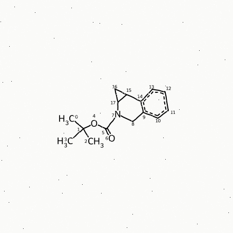 CC(C)(C)OC(=O)N1Cc2ccccc2C2CC21